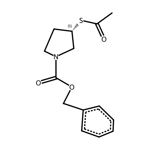 CC(=O)S[C@H]1CCN(C(=O)OCc2ccccc2)C1